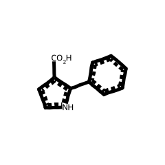 O=C(O)c1cc[nH]c1-c1ccccc1